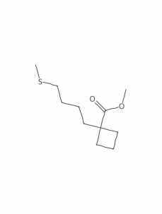 COC(=O)C1(CCCCSC)CCC1